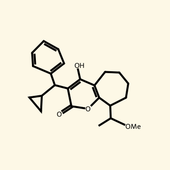 COC(C)C1CCCCc2c1oc(=O)c(C(c1ccccc1)C1CC1)c2O